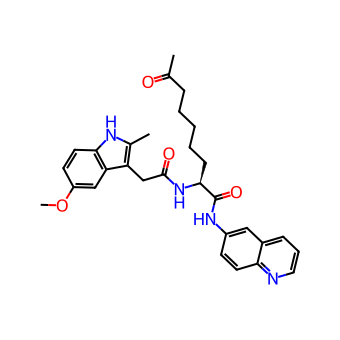 COc1ccc2[nH]c(C)c(CC(=O)N[C@@H](CCCCCC(C)=O)C(=O)Nc3ccc4ncccc4c3)c2c1